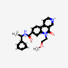 COCCn1c(=O)c2cnccc2c2ccc(C(=O)NC(C)c3ccccc3)cc21